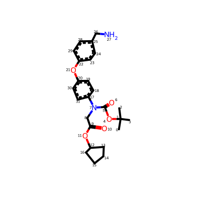 CC(C)(C)OC(=O)N(CC(=O)OC1CCCC1)c1ccc(Oc2ccc(CN)cc2)cc1